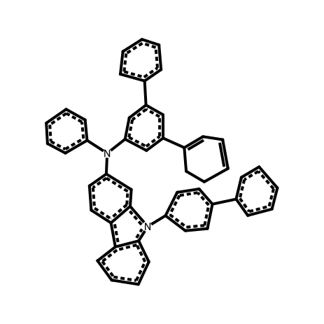 C1=CCCC(c2cc(-c3ccccc3)cc(N(c3ccccc3)c3ccc4c5ccccc5n(-c5ccc(-c6ccccc6)cc5)c4c3)c2)=C1